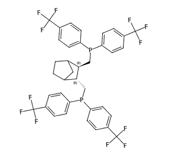 FC(F)(F)c1ccc(P(C[C@@H]2C3CCC(C3)[C@H]2CP(c2ccc(C(F)(F)F)cc2)c2ccc(C(F)(F)F)cc2)c2ccc(C(F)(F)F)cc2)cc1